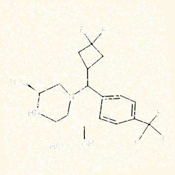 C[C@H]1CN(C(c2ccc(C(F)(F)F)cc2)C2CC(F)(F)C2)[C@H](CO)CN1.Cl